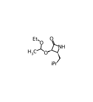 CCOC(C)O[C@H]1C(=O)N[C@H]1CC(C)C